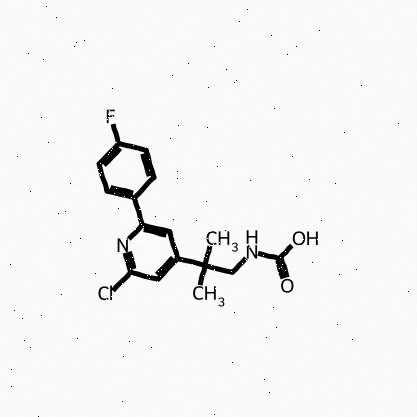 CC(C)(CNC(=O)O)c1cc(Cl)nc(-c2ccc(F)cc2)c1